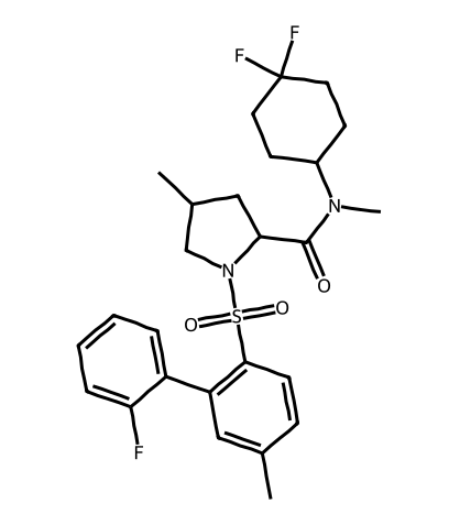 Cc1ccc(S(=O)(=O)N2CC(C)CC2C(=O)N(C)C2CCC(F)(F)CC2)c(-c2ccccc2F)c1